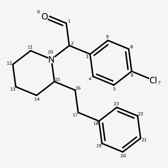 O=CC(c1ccc(Cl)cc1)N1CCCCC1CCc1ccccc1